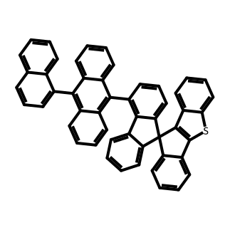 c1ccc2c(c1)-c1sc3ccccc3c1C21c2ccccc2-c2c(-c3c4ccccc4c(-c4cccc5ccccc45)c4ccccc34)cccc21